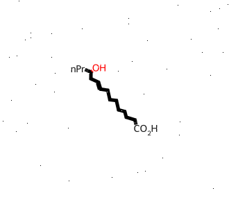 CCCC(O)CC=CCCCCCCCC(=O)O